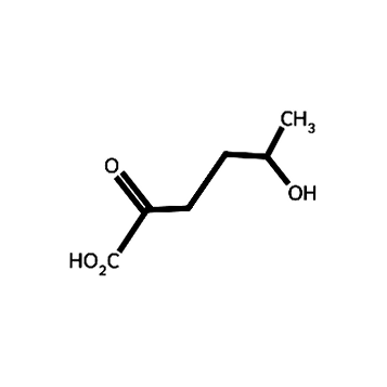 CC(O)CCC(=O)C(=O)O